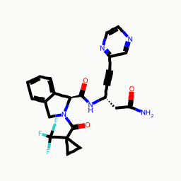 NC(=O)C[C@@H](C#Cc1cnccn1)NC(=O)[C@@H]1c2ccccc2CN1C(=O)C1(C(F)(F)F)CC1